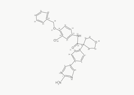 Nc1ncc(-c2ccc(C3(C(=O)Nc4ccc(OCc5ccccc5)c(Cl)c4)CCOCC3)cc2)cn1